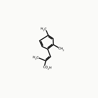 CC(=Cc1ccc(C)cc1C)C(=O)O